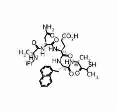 CC(C)N[C@H](C)C(=O)N[C@@H](CC(N)=O)C(=O)N[C@@H](CCC(=O)O)C(=O)N[C@@H](Cc1cccc2ccccc12)C(=O)N[C@H](C)C(=O)C(C)S